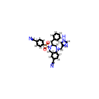 N#Cc1ccc(S(=O)(=O)N2Cc3cc(C#N)ccc3N(Cc3c[nH]cn3)CC2Cc2ccccc2)cc1